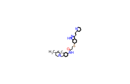 CC1CCN(Cc2ccc(NC(=O)CCSc3ccc4c(C=Cc5ccccn5)n[nH]c4c3)cc2C(F)(F)F)CC1